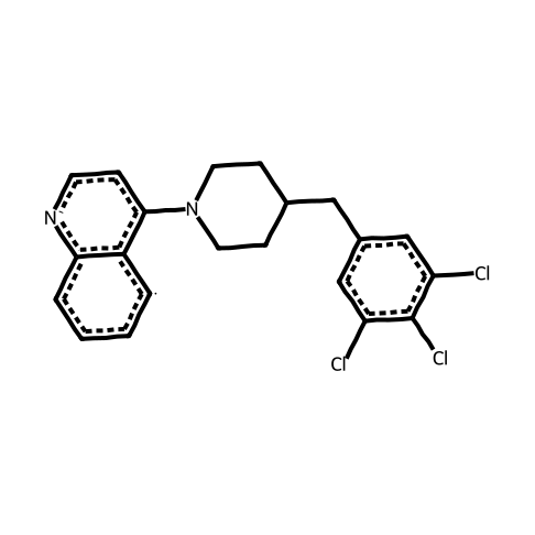 Clc1cc(CC2CCN(c3ccnc4ccc[c]c34)CC2)cc(Cl)c1Cl